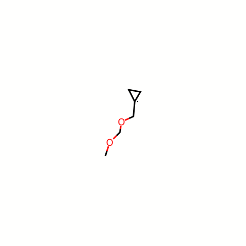 COCOC[C]1CC1